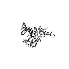 Cl.N#Cc1c(-c2cccc(N3CCC[C@H]3C(N)=O)c2)cc(-c2ccccc2O)nc1NC(=O)c1cccs1